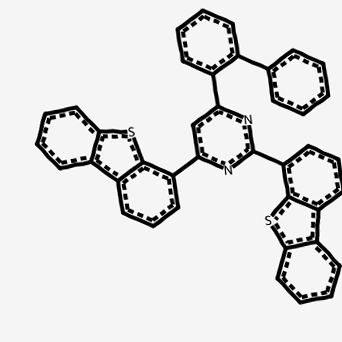 c1ccc(-c2ccccc2-c2cc(-c3cccc4c3sc3ccccc34)nc(-c3cccc4c3sc3ccccc34)n2)cc1